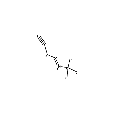 C#CCC=NC(C)(C)C